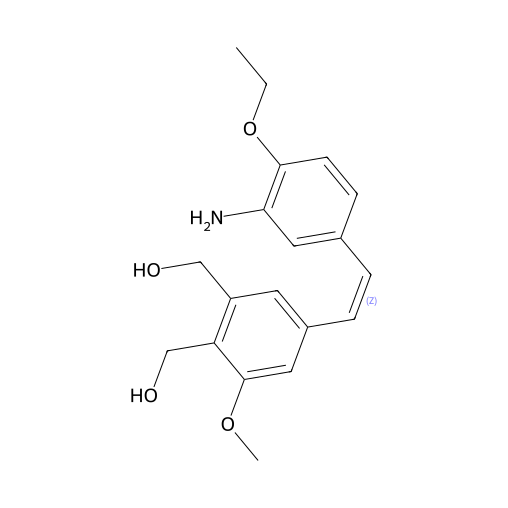 CCOc1ccc(/C=C\c2cc(CO)c(CO)c(OC)c2)cc1N